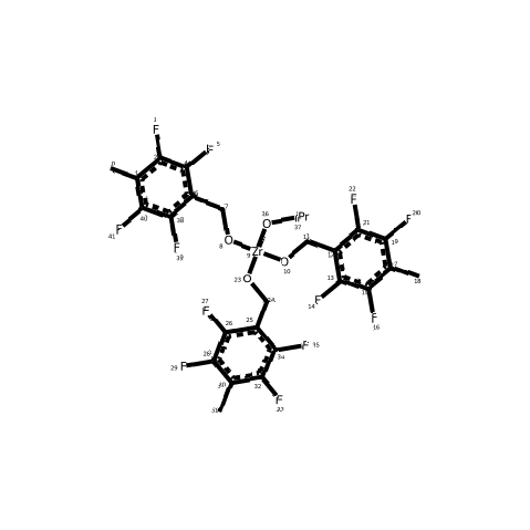 Cc1c(F)c(F)c(C[O][Zr]([O]Cc2c(F)c(F)c(C)c(F)c2F)([O]Cc2c(F)c(F)c(C)c(F)c2F)[O]C(C)C)c(F)c1F